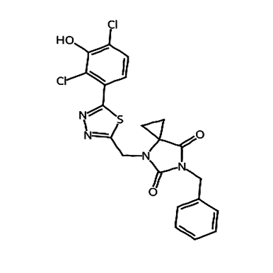 O=C1N(Cc2ccccc2)C(=O)C2(CC2)N1Cc1nnc(-c2ccc(Cl)c(O)c2Cl)s1